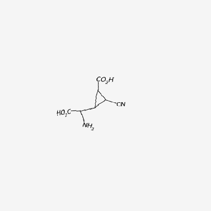 N#CC1C(C(=O)O)C1C(N)C(=O)O